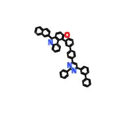 c1ccc(-c2cccc(-c3cc(-c4ccc(-c5ccc6oc7ccc8c(-c9ccc%10ccccc%10c9)nc9ccccc9c8c7c6c5)cc4)nc(-c4ccccc4)n3)c2)cc1